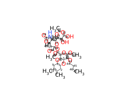 CCCCOC1[C@H](OCCCC)C(COC2(C(=O)OC)C[C@H]3OC(=O)N[C@H]3C([C@H](OC(C)=O)[C@H](O)CO)O2)O[C@H](OC)[C@H]1OCCCC